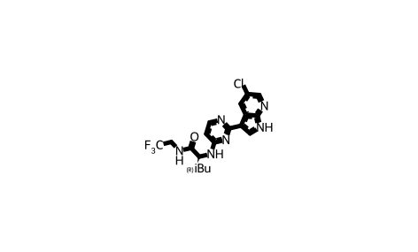 CC[C@@H](C)C(Nc1ccnc(-c2c[nH]c3ncc(Cl)cc23)n1)C(=O)NCC(F)(F)F